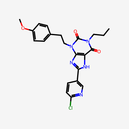 CCCn1c(=O)c2[nH]c(-c3ccc(Cl)nc3)nc2n(CCc2ccc(OC)cc2)c1=O